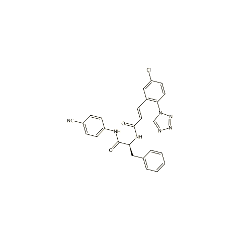 N#Cc1ccc(NC(=O)[C@H](Cc2ccccc2)NC(=O)C=Cc2cc(Cl)ccc2-n2cnnn2)cc1